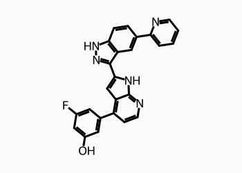 Oc1cc(F)cc(-c2ccnc3[nH]c(-c4n[nH]c5ccc(-c6ccccn6)cc45)cc23)c1